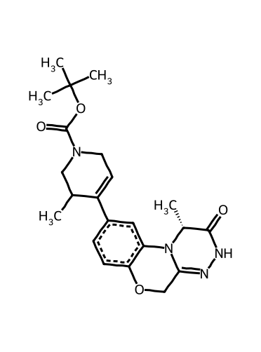 CC1CN(C(=O)OC(C)(C)C)CC=C1c1ccc2c(c1)N1C(=NNC(=O)[C@H]1C)CO2